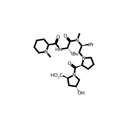 CC(C)[C@@H](CN1CCC[C@H]1C(=O)N1C[C@H](O)C[C@H]1C(=O)O)N(C)C(=O)[C@@H](NC(=O)C1CCCCN1C)C(C)(C)C